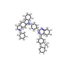 CC1(C)c2ccccc2-c2ccc(-c3nc(-c4ccc(-n5c6ccccc6c6cc7ccn(-c8ccccc8)c7cc65)cc4)nc4ccccc34)cc21